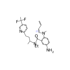 C=C/C=C\N(C)c1ccc(N)cc1C(=O)N(CC)C(C)CCc1ccc(C(C)(F)F)cn1